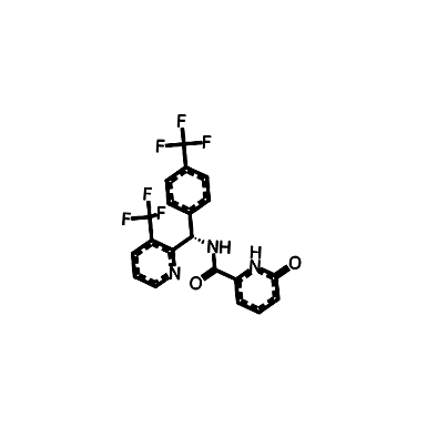 O=C(N[C@@H](c1ccc(C(F)(F)F)cc1)c1ncccc1C(F)(F)F)c1cccc(=O)[nH]1